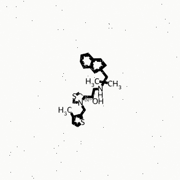 Cc1ccsc1CN1CSC[C@@H]1[C@@H](O)CNC(C)(C)Cc1ccc2ccccc2c1